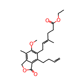 C=CCCc1c(C/C=C(\C)CCC(=O)OCC)c(OC)c(C)c2c1C(=O)OC2